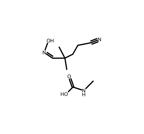 CC(C)(/C=N\O)CCC#N.CNC(=O)O